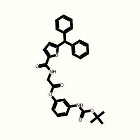 CC(C)(C)OC(=O)Nc1cccc(OC(=O)CNC(=O)c2ccc(C(c3ccccc3)c3ccccc3)s2)c1